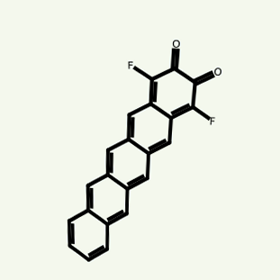 O=C1C(=O)C(F)=c2cc3cc4cc5ccccc5cc4cc3cc2=C1F